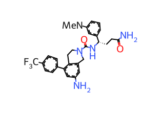 CNc1cccc([C@H](CCC(N)=O)NC(=O)N2CCc3c(cc(N)cc3-c3ccc(C(F)(F)F)cc3)C2)c1